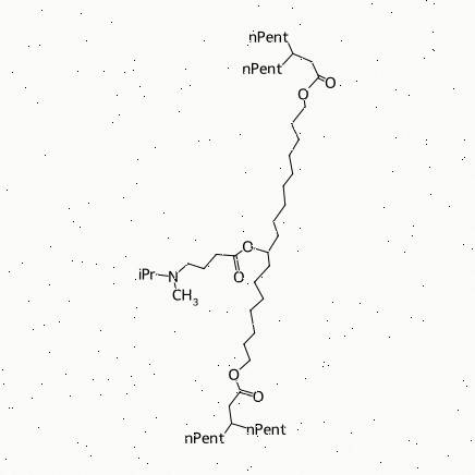 CCCCCC(CCCCC)CC(=O)OCCCCCCCCCC(CCCCCCCOC(=O)CC(CCCCC)CCCCC)OC(=O)CCCN(C)C(C)C